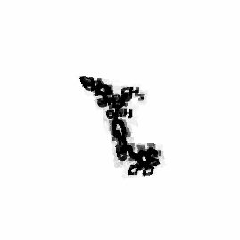 COC(=O)CC(CNC(=O)c1cccc(OC)c1)NC(=O)C1CCN(C(=O)C=Cc2cc3ccsc3c(Cl)c2Cl)CC1